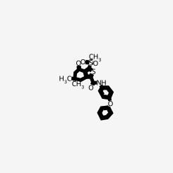 CC1(C)CC(=O)c2c(S(C)(=O)=O)sc(C(=O)Nc3ccc(Oc4ccccc4)cc3)c2C1